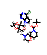 CC(C)(C)OC(=O)N1CCCC2(CN(C[C@H]3O[C@@H](n4ccc5c(Cl)ncnc54)[C@@H]4OC(C)(C)O[C@@H]43)CCO2)C1